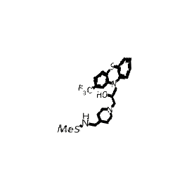 CSNCC1CCN(CC(O)CN2c3ccccc3Sc3ccc(C(F)(F)F)cc32)CC1